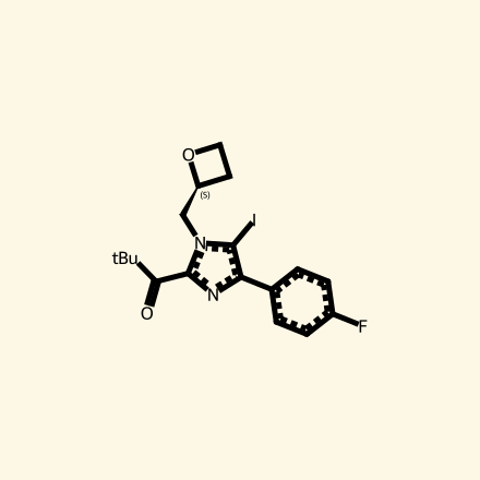 CC(C)(C)C(=O)c1nc(-c2ccc(F)cc2)c(I)n1C[C@@H]1CCO1